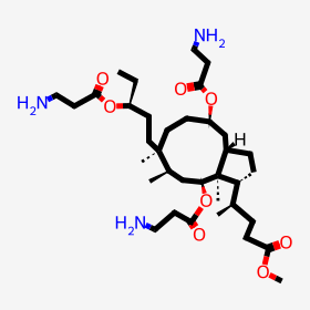 CC[C@@H](CC[C@@]1(C)CC[C@@H](OC(=O)CCN)C[C@@H]2CC[C@H]([C@H](C)CCC(=O)OC)[C@@]2(C)[C@@H](OC(=O)CCN)C[C@H]1C)OC(=O)CCN